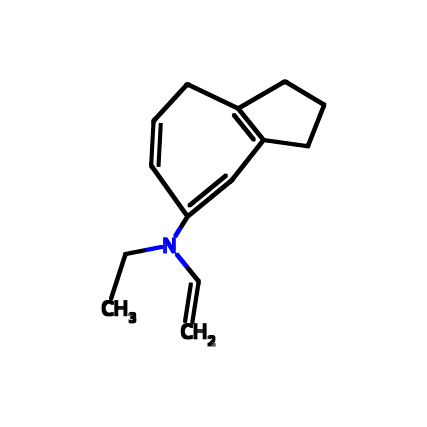 C=CN(CC)C1=CC2=C(CC=C1)CCC2